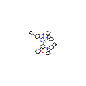 c1ccc(-c2ccc(C3=NC(c4cc(-n5c6ccccc6c6cc7ccccc7cc65)c5oc6ccccc6c5c4)=NC(n4c5ccccc5c5ccccc54)N3)cc2)cc1